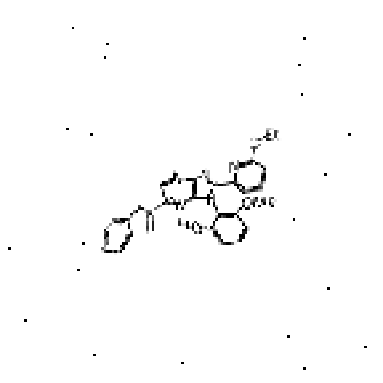 CCOC1=NC(c2nc3ncc(NCc4ccccc4)nc3n2-c2c(O)cccc2OC)=C=C=C1